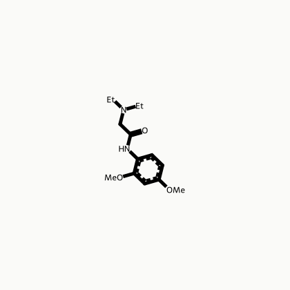 CCN(CC)CC(=O)Nc1ccc(OC)cc1OC